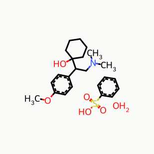 COc1ccc(C(CN(C)C)C2(O)CCCCC2)cc1.O.O=S(=O)(O)c1ccccc1